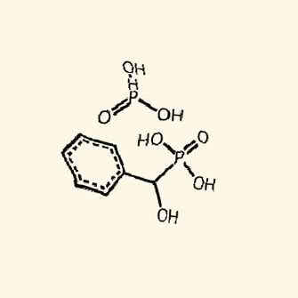 O=P(O)(O)C(O)c1ccccc1.O=[PH](O)O